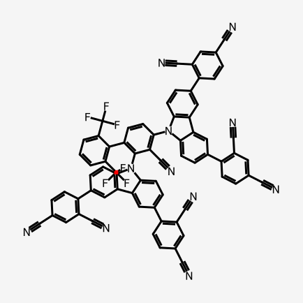 N#Cc1ccc(-c2ccc3c(c2)c2cc(-c4ccc(C#N)cc4C#N)ccc2n3-c2ccc(-c3c(C(F)(F)F)cccc3C(F)(F)F)c(-n3c4ccc(-c5ccc(C#N)cc5C#N)cc4c4cc(-c5ccc(C#N)cc5C#N)ccc43)c2C#N)c(C#N)c1